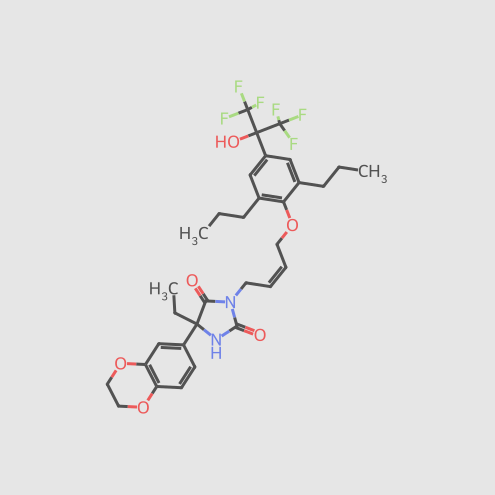 CCCc1cc(C(O)(C(F)(F)F)C(F)(F)F)cc(CCC)c1OC/C=C\CN1C(=O)NC(CC)(c2ccc3c(c2)OCCO3)C1=O